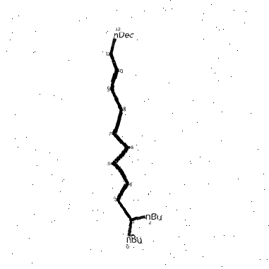 [CH2]CCCC(CCCC)CCCCCCCCCCCCCCCCCCC